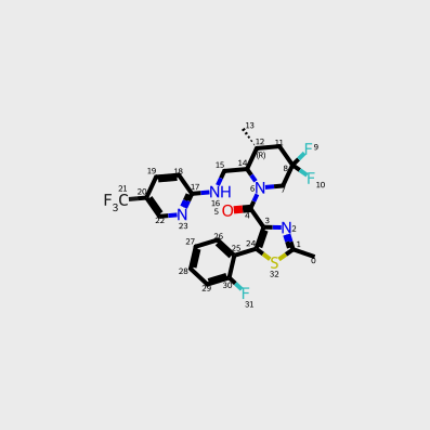 Cc1nc(C(=O)N2CC(F)(F)C[C@@H](C)C2CNc2ccc(C(F)(F)F)cn2)c(-c2ccccc2F)s1